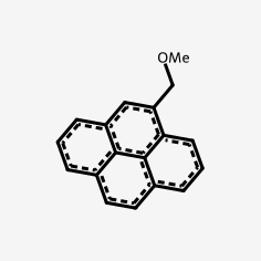 COCc1cc2cccc3ccc4cccc1c4c32